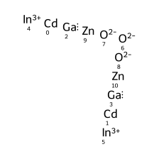 [Cd].[Cd].[Ga].[Ga].[In+3].[In+3].[O-2].[O-2].[O-2].[Zn].[Zn]